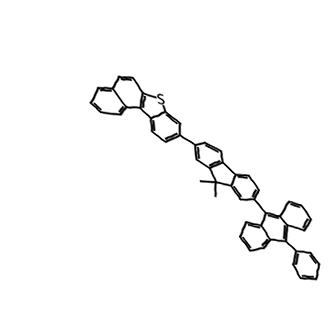 CC1(C)c2cc(-c3ccc4c(c3)sc3ccc5ccccc5c34)ccc2-c2ccc(-c3c4ccccc4c(-c4ccccc4)c4ccccc34)cc21